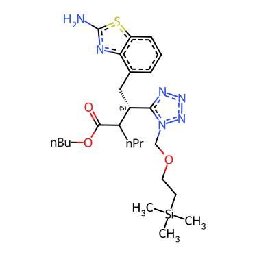 CCCCOC(=O)C(CCC)[C@H](Cc1cccc2sc(N)nc12)c1nnnn1COCC[Si](C)(C)C